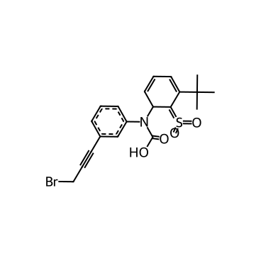 CC(C)(C)C1=CC=CC(N(C(=O)O)c2cccc(C#CCBr)c2)C1=S(=O)=O